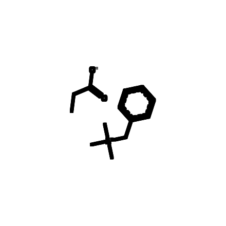 CCC(=O)[O-].C[N+](C)(C)Cc1ccccc1